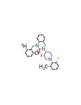 [2H]c1cccc(C(F)(F)F)c1CN1C(=O)N(C2CCN(c3c(C)cccc3F)CC2)Cc2ccccc21